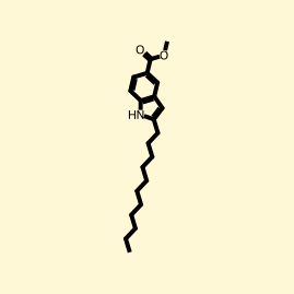 CCCCCCCCCCCc1cc2cc(C(=O)OC)ccc2[nH]1